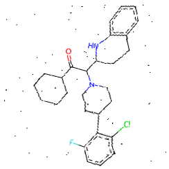 O=C(C1CCCCC1)C(C1CCc2ccccc2N1)N1CCC(c2c(F)cccc2Cl)CC1